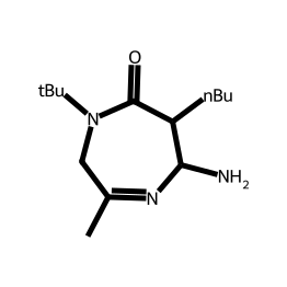 CCCCC1C(=O)N(C(C)(C)C)CC(C)=NC1N